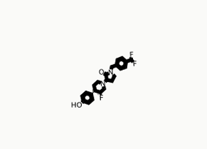 O=C1C(N2CC[C@@H](c3ccc(O)cc3)[C@H](F)C2)CCN1Cc1ccc(C(F)F)cc1